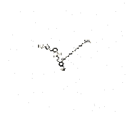 Br.CCCCCCCCCCCCCCOc1cc(Cl)ccc1OCC(=O)Nc1cccc(CN2C=C(C)SC2)c1